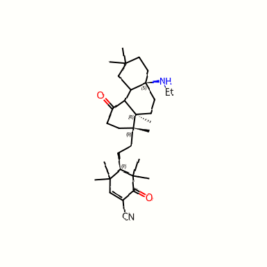 CCN[C@]12CCC(C)(C)CC1C1C(=O)CC[C@@](C)(CC[C@@H]3C(C)(C)C=C(C#N)C(=O)C3(C)C)[C@]1(C)CC2